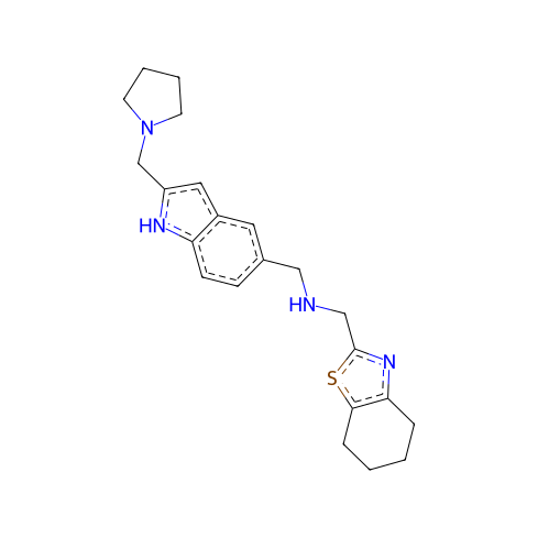 c1cc2[nH]c(CN3CCCC3)cc2cc1CNCc1nc2c(s1)CCCC2